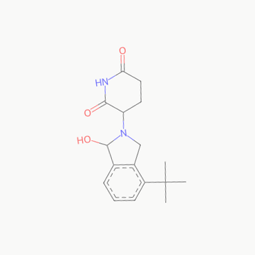 CC(C)(C)c1cccc2c1CN(C1CCC(=O)NC1=O)C2O